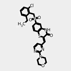 CCc1cccc(Cl)c1CS(=O)(=O)c1ccc2c(c1)NC(=O)/C(=C/c1ccnc(N3CCOCC3)n1)S2